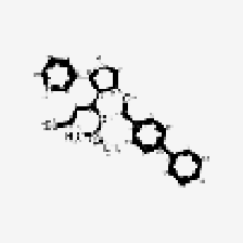 C[SiH](C)OC(CCC(C)(C)C)[C@@H]1[C@@H](OCc2ccc(-c3ccccc3)cc2)CO[C@@H]1c1cccnc1